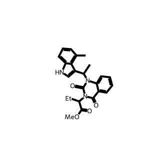 CCC(C(=O)OC)n1c(=O)c2ccccc2n(C(C)c2c[nH]c3cccc(C)c23)c1=O